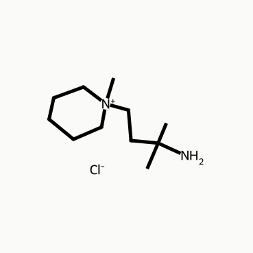 CC(C)(N)CC[N+]1(C)CCCCC1.[Cl-]